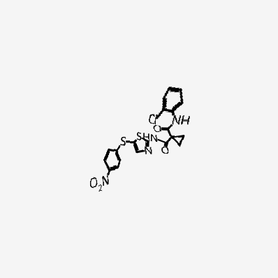 O=C(Nc1ncc(Sc2ccc([N+](=O)[O-])cc2)s1)C1(C(=O)Nc2ccccc2Cl)CC1